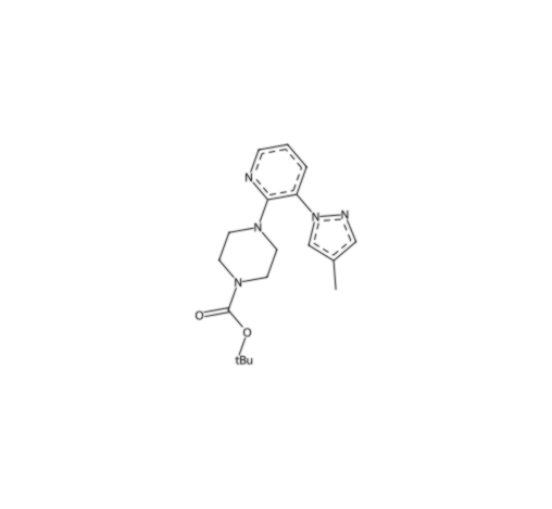 Cc1cnn(-c2cccnc2N2CCN(C(=O)OC(C)(C)C)CC2)c1